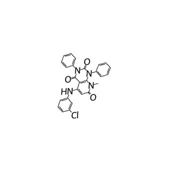 Cn1c(=O)cc(Nc2cccc(Cl)c2)c2c(=O)n(-c3ccccc3)c(=O)n(-c3ccccc3)c21